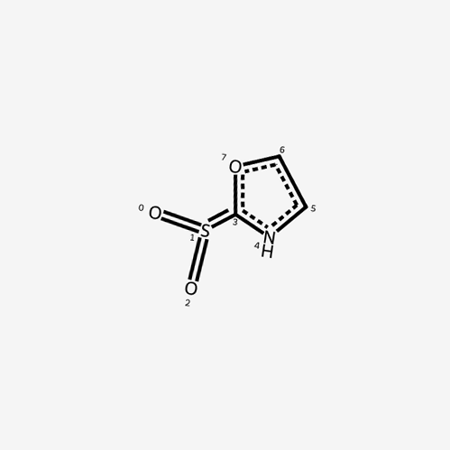 O=S(=O)=c1[nH]cco1